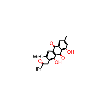 COc1cc2c(c(O)c1CC(=O)C(C)C)C(=O)c1c(O)cc(C)cc1C2=O